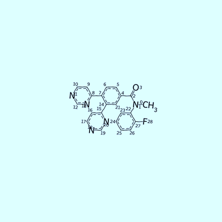 CN(C(=O)c1ccc(-c2ccncn2)c(-c2ccncn2)c1)c1ccccc1F